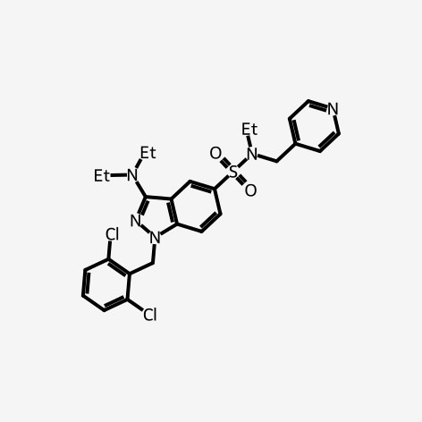 CCN(CC)c1nn(Cc2c(Cl)cccc2Cl)c2ccc(S(=O)(=O)N(CC)Cc3ccncc3)cc12